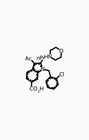 C1COCCN1.CCCc1c(C(C)=O)c2ccc(C(=O)O)cc2n1Cc1ccccc1Cl